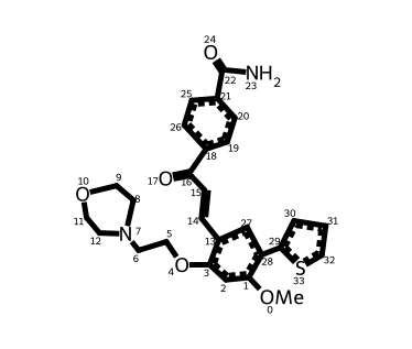 COc1cc(OCCN2CCOCC2)c(C=CC(=O)c2ccc(C(N)=O)cc2)cc1-c1cccs1